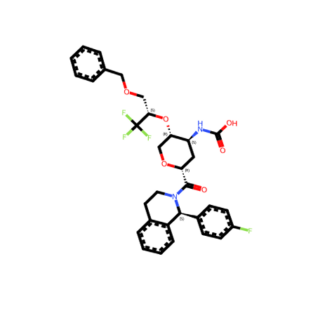 O=C(O)N[C@H]1C[C@H](C(=O)N2CCc3ccccc3[C@@H]2c2ccc(F)cc2)OC[C@@H]1O[C@@H](COCc1ccccc1)C(F)(F)F